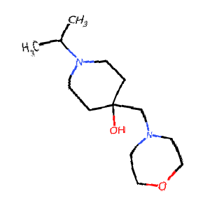 CC(C)N1CCC(O)(CN2CCOCC2)CC1